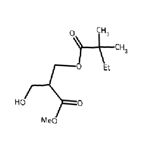 CCC(C)(C)C(=O)OCC(CO)C(=O)OC